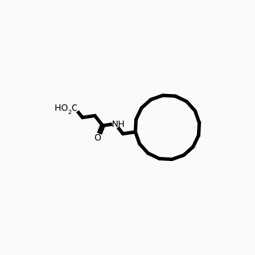 O=C(O)CCC(=O)NCC1CCCCCCCCCCCCCCC1